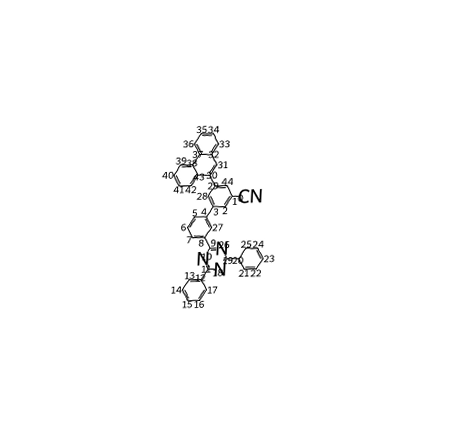 N#Cc1cc(-c2cccc(-c3nc(-c4ccccc4)nc(C4C=CC=CC4)n3)c2)cc(-c2cc3ccccc3c3ccccc23)c1